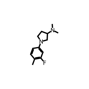 Cc1ccc(N2CCC(N(C)C)C2)cc1F